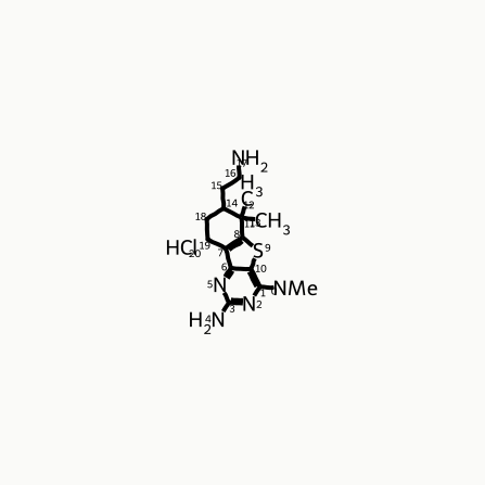 CNc1nc(N)nc2c3c(sc12)C(C)(C)C(CCN)CC3.Cl